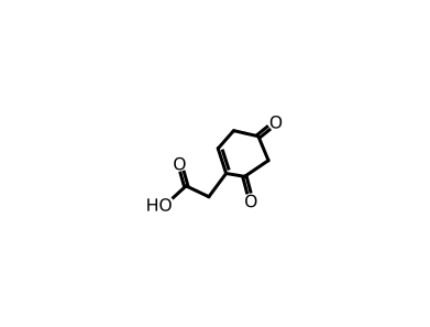 O=C(O)CC1=CCC(=O)CC1=O